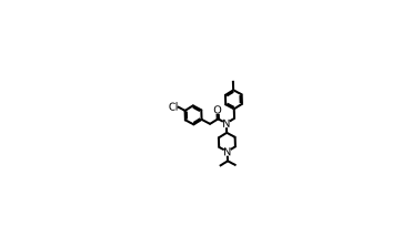 Cc1ccc(CN(C(=O)Cc2ccc(Cl)cc2)C2CCN(C(C)C)CC2)cc1